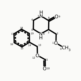 COCC1NCCNC1=O.O=COCc1ccccc1